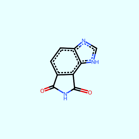 O=C1NC(=O)c2c1ccc1nc[nH]c21